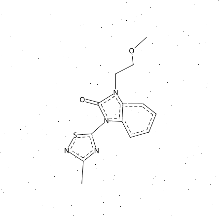 COCCn1c(=O)n(-c2nc(C)ns2)c2ccccc21